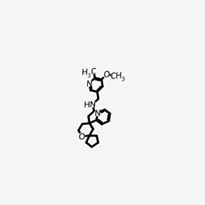 COc1cc(CNCCC2(c3ccccn3)CCOC3(CCCC3)C2)cnc1C